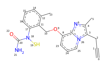 C#CCc1c(C)nc2c(OCc3c(C)cccc3N(S)C(N)=O)cccn12